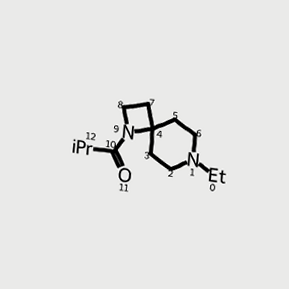 CCN1CCC2(CC1)CCN2C(=O)C(C)C